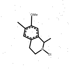 CCN1CCc2cc(C)c(OC)cc2C1C